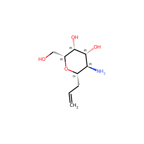 C=CC[C@@H]1O[C@H](CO)[C@H](O)[C@H](O)[C@H]1N